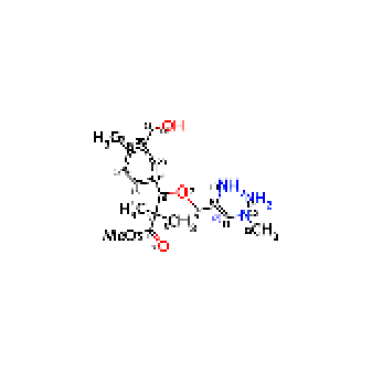 COC(=O)C(C)(C)C(OC/C(N)=C/N(C)N)c1ccc(C)c(CO)c1